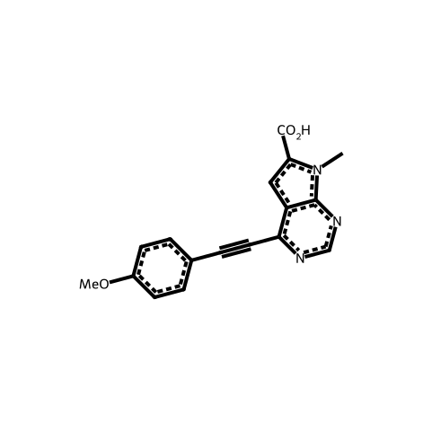 COc1ccc(C#Cc2ncnc3c2cc(C(=O)O)n3C)cc1